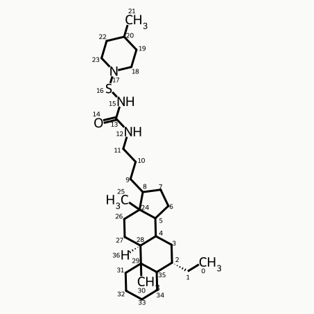 CC[C@H]1CC2C3CCC(CCCNC(=O)NSN4CCC(C)CC4)C3(C)CC[C@@H]2C2(C)CCCCC12